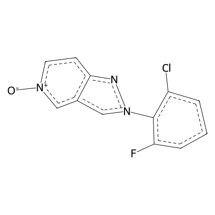 [O-][n+]1ccc2nn(-c3c(F)cccc3Cl)cc2c1